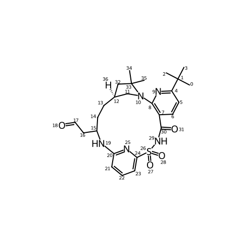 CC(C)(C)c1ccc2c(n1)N1C[C@@H](CCC(CC=O)Nc3cccc(n3)S(=O)(=O)NC2=O)CC1(C)C